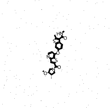 CNC(=O)c1c(C)sc2cc(Oc3ccnc4cc(C(=O)N5C[C@H](C)[C@H](OC)C5)sc34)ccc12